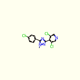 Cn1nc(-c2c(Cl)cncc2Cl)nc1-c1ccc(Cl)cc1